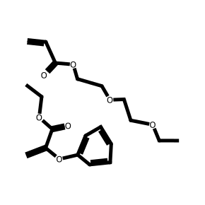 C=C(Oc1ccccc1)C(=O)OCC.C=CC(=O)OCCOCCOCC